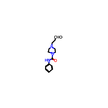 O=[C]CCN1CCN(C(=O)Nc2ccccc2)CC1